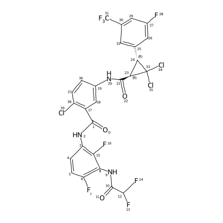 O=C(Nc1ccc(F)c(NC(=O)C(F)F)c1F)c1cc(NC(=O)[C@H]2[C@H](c3cc(F)cc(C(F)(F)F)c3)C2(Cl)Cl)ccc1Cl